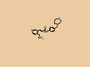 NCc1ccncc1/C=C/C(=O)Nc1ccc(CN2CCCOCC2)cc1